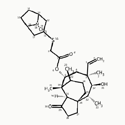 C=C[C@]1(C)C[C@@H](OC(=O)CSC2CC3CCC(C2)N3C)[C@]2(C)C(C)CC[C@]3(CCC(=O)[C@H]32)[C@@H](C)[C@@H]1O